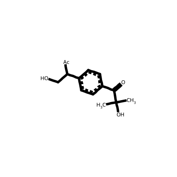 CC(=O)C(CO)c1ccc(C(=O)C(C)(C)O)cc1